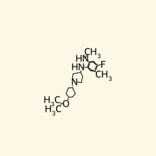 CNc1cc(F)c(C)cc1NC1CCN([C@H]2CC[C@H](OC(C)C)CC2)CC1